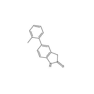 Cc1ccccc1-c1ccc2c(c1)CC(=O)N2